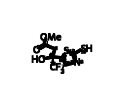 COC(=O)C[C@@](O)(c1cnc(S)s1)C(F)(F)F